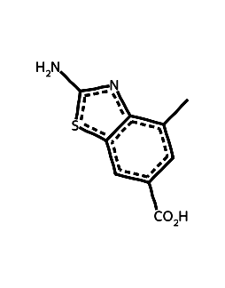 Cc1cc(C(=O)O)cc2sc(N)nc12